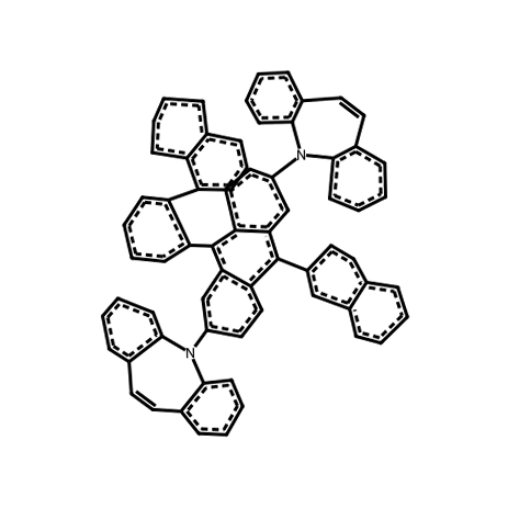 C1=Cc2ccccc2N(c2ccc3c(-c4ccccc4-c4cccc5ccccc45)c4cc(N5c6ccccc6C=Cc6ccccc65)ccc4c(-c4ccc5ccccc5c4)c3c2)c2ccccc21